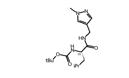 CC(C)C[C@H](NC(=O)OC(C)(C)C)C(=O)NCc1cnn(C)c1